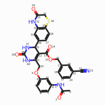 CC(=O)Nc1cccc(OCC2=C(C(=O)OCc3cccc(C#N)c3)C(c3ccc4c(c3)NC(=O)CS4)NC(=O)N2)c1